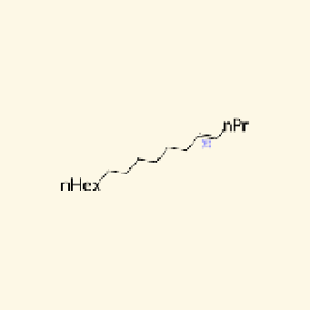 [CH2]CC/C=C/CCCCCCCCCCC[CH2]